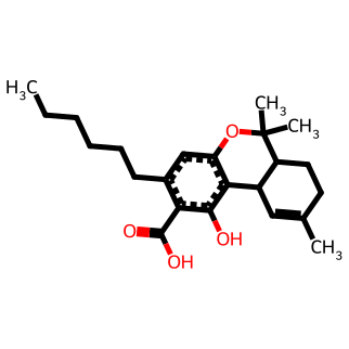 CCCCCCc1cc2c(c(O)c1C(=O)O)C1C=C(C)CCC1C(C)(C)O2